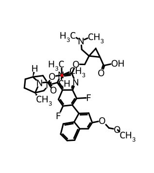 COCOc1cc(-c2c(F)cc3c(N4C[C@H]5CC[C@@](C)(C4)N5C(=O)OC(C)(C)C)nc(OCC4(CN(C)C)CC4C(=O)O)nc3c2F)c2ccccc2c1